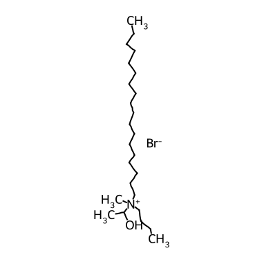 CCCCCCCCCCCCCCCCCC[N+](C)(CCCC)C(C)O.[Br-]